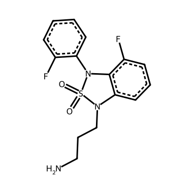 NCCCN1c2cccc(F)c2N(c2ccccc2F)S1(=O)=O